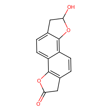 O=C1Cc2ccc3c4c(ccc3c2O1)CC(O)O4